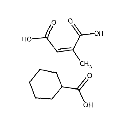 C/C(=C/C(=O)O)C(=O)O.O=C(O)C1CCCCC1